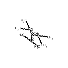 CCCCCCCCN(CCCCCCCC)C(=O)COCC(CC)(COCC(=O)N(CCCCCCCC)CCCCCCCC)COCC(=O)N(CCCCCCCC)CCCCCCCC